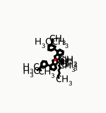 CCCCC[CH2][Hf]([CH3])([CH3])([CH3])(=[SiH2])([CH]1C=Cc2c(-c3cccc(C(C)(C)C)c3)cccc21)[CH]1C=Cc2c(-c3cccc(C(C)(C)C)c3)cccc21